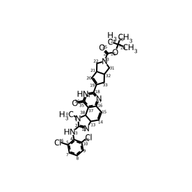 CN1C(Nc2c(Cl)cccc2Cl)=NC2C=Cc3nc(C4=CC5CN(C(=O)OC(C)(C)C)CC5C4)[nH]c(=O)c3C21